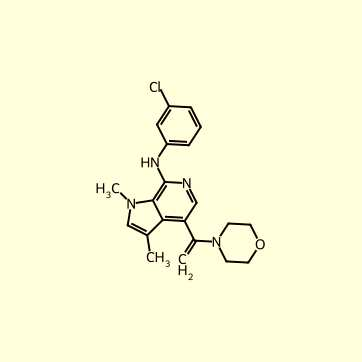 C=C(c1cnc(Nc2cccc(Cl)c2)c2c1c(C)cn2C)N1CCOCC1